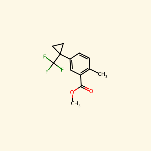 COC(=O)c1cc(C2(C(F)(F)F)CC2)ccc1C